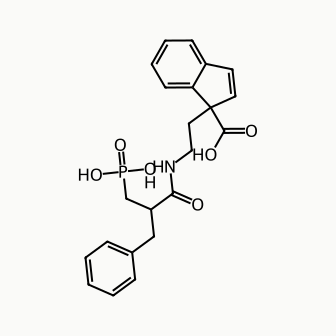 O=C(NCCC1(C(=O)O)C=Cc2ccccc21)C(Cc1ccccc1)CP(=O)(O)O